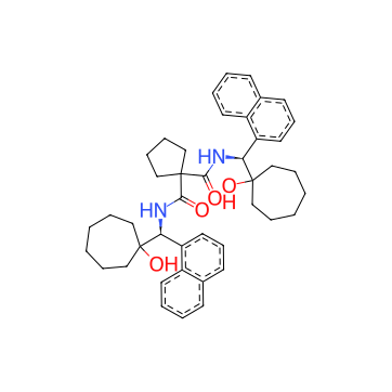 O=C(N[C@@H](c1cccc2ccccc12)C1(O)CCCCCC1)C1(C(=O)N[C@@H](c2cccc3ccccc23)C2(O)CCCCCC2)CCCC1